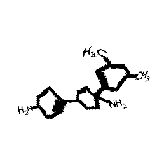 Cc1cc(C)cc(C2(N)C=CC(c3ccc(N)cc3)=CC2)c1